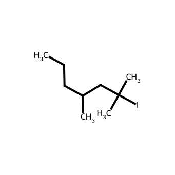 CCCC(C)CC(C)(C)I